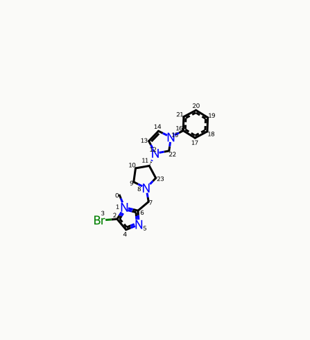 Cn1c(Br)cnc1CN1CC[C@H](N2C=CN(c3ccccc3)C2)C1